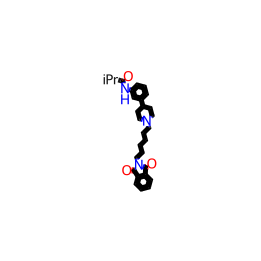 CC(C)C(=O)Nc1cccc(C2CCN(CCCCCCN3C(=O)c4ccccc4C3=O)CC2)c1